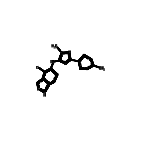 Cc1ccc(-c2nc(Nc3ccc4[nH]ncc4c3Cl)n(C)n2)cc1